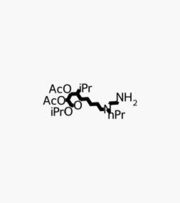 CCCN(CCN)CCCCC1OC(OC(C)C)C(OC(C)=O)C(OC(C)=O)C1C(C)C